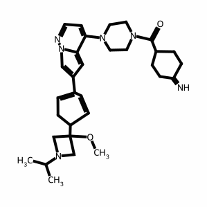 COC1(C2C=CC(c3cc4c(N5CCN(C(=O)C6CCC(=N)CC6)CC5)ccnn4c3)=CC2)CN(C(C)C)C1